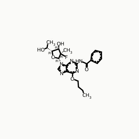 CCCCOc1nc(NC(=O)c2ccccc2)nc2c1ncn2[C@@H]1O[C@H](C(C)O)[C@@H](O)[C@@]1(C)F